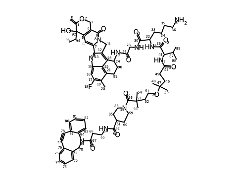 C=C1OCc2c(cc3n(c2=O)Cc2c-3nc3cc(F)c(C)c4c3c2C(NC(=O)CNC(=O)C(CCCCN)NC(=O)C(NC(=O)CCC(C)(C)OCCC(C)(C)C(=O)N2CCC(C(=O)NCCC(=O)N3Cc5ccccc5C#Cc5ccccc53)CC2)C(C)C)CC4)C1(O)CC